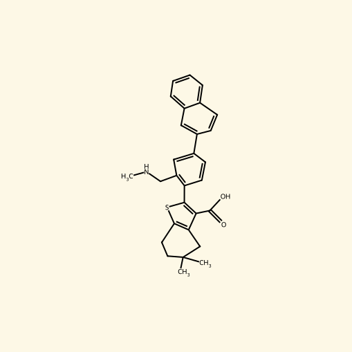 CNCc1cc(-c2ccc3ccccc3c2)ccc1-c1sc2c(c1C(=O)O)CC(C)(C)CC2